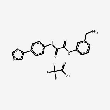 NCc1cccc(NC(=O)C(=O)Nc2ccc(-c3cnco3)cc2)c1.O=C(O)C(F)(F)F